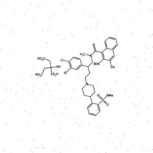 CNS(=O)(=O)c1ccccc1C1CCN(CCC(CN(C)C(=O)c2c(SC)c(C#N)cc3ccccc23)c2ccc(Cl)c(Cl)c2)CC1.O=C(O)CC(O)(CC(=O)O)C(=O)O